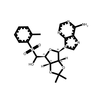 Cc1ccccc1S(=O)(=O)C(O)[C@H]1O[C@@H](n2cnc3c(N)ncnc32)[C@@H]2OC(C)(C)O[C@@H]21